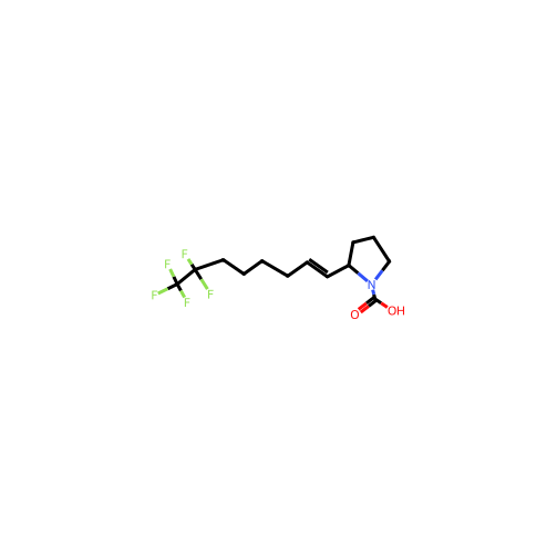 O=C(O)N1CCCC1C=CCCCCC(F)(F)C(F)(F)F